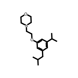 CC(C)Cc1cc(OCCN2CCOCC2)cc(C(C)C)c1